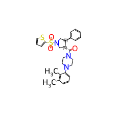 Cc1cccc(N2CCN(C(=O)[C@@H]3CN(S(=O)(=O)c4cccs4)C[C@H]3c3ccccc3)CC2)c1C